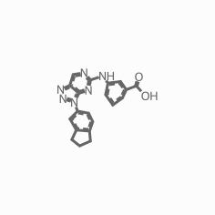 O=C(O)c1cccc(Nc2ncc3nnn(-c4ccc5c(c4)CCC5)c3n2)c1